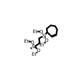 CCO[Si](C)(CC[Si](OCC)(OCC)C1C=CCCCC1)OCC